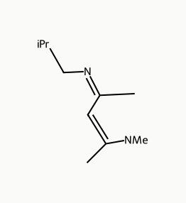 CN/C(C)=C\C(C)=N/CC(C)C